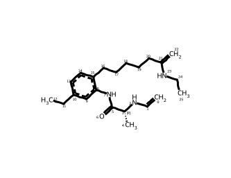 C=CN[C@H](C)C(=O)Nc1cc(CC)ccc1CCCCCC(=C)NCC